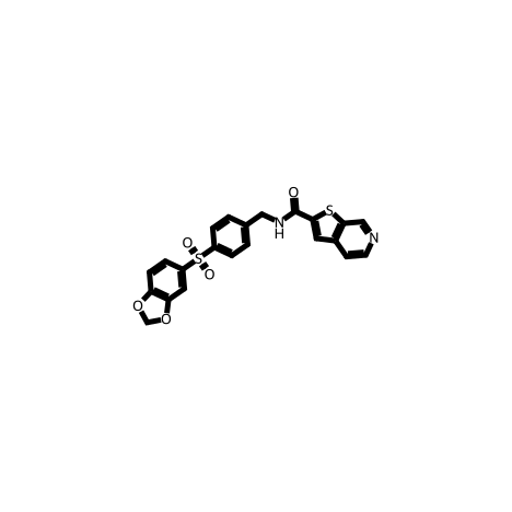 O=C(NCc1ccc(S(=O)(=O)c2ccc3c(c2)OCO3)cc1)c1cc2ccncc2s1